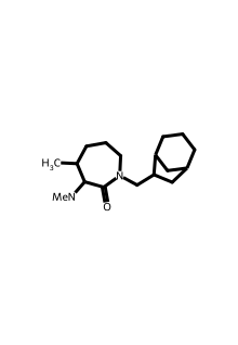 CNC1C(=O)N(CC2CC3CCCC2C3)CCCC1C